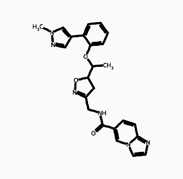 CC(Oc1ccccc1-c1cnn(C)c1)C1CC(CNC(=O)c2ccc3nccn3c2)=NO1